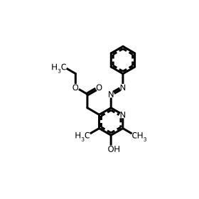 CCOC(=O)Cc1c(/N=N/c2ccccc2)nc(C)c(O)c1C